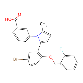 Cc1ccc(-c2cc(Br)ccc2OCc2ccccc2F)n1-c1cccc(C(=O)O)c1